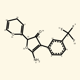 NC1=C(c2cccc(C(F)(F)F)c2)C(=O)C(C2=CCC=CO2)O1